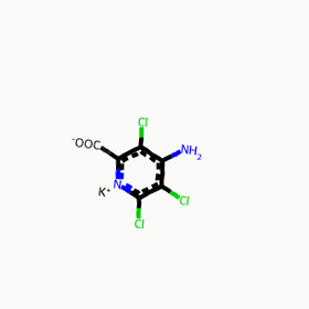 Nc1c(Cl)c(Cl)nc(C(=O)[O-])c1Cl.[K+]